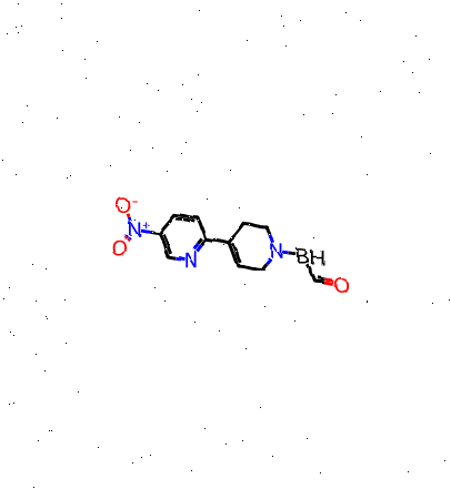 O=CBN1CC=C(c2ccc([N+](=O)[O-])cn2)CC1